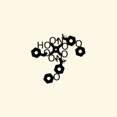 C[C@@H](c1ccc(Oc2ccccc2)cc1)N(C)C(=O)C1C(C(=O)O)C(C(=O)OCc2ccccc2)C1C(=O)N(C)[C@@H](C)c1ccc(Oc2ccccc2)cc1